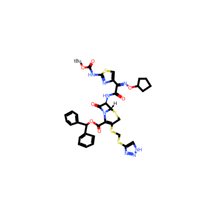 CC(C)(C)OC(=O)Nc1nc(/C(=N/OC2CCCC2)C(=O)N[C@@H]2C(=O)N3C(C(=O)OC(c4ccccc4)c4ccccc4)=C(SCSc4c[nH]nn4)CS[C@@H]23)cs1